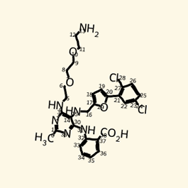 Cc1nc(NCCOCCOCCN)c(NCc2ccc(-c3cc(Cl)ccc3Cl)o2)c(Nc2ccccc2C(=O)O)n1